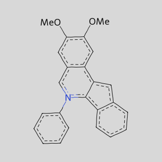 COc1cc2cn(-c3ccccc3)c3c4ccccc4cc-3c2cc1OC